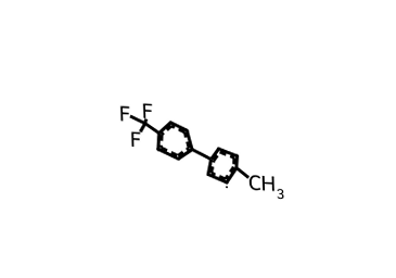 Cc1[c]cc(-c2ccc(C(F)(F)F)cc2)cc1